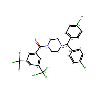 O=C(c1cc(C(F)(F)F)cc(C(F)(F)F)c1)N1CCN(C(c2ccc(Cl)cc2)c2ccc(Cl)cc2)CC1